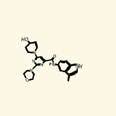 Cc1c[nH]c2ccc(NC(=O)c3cc(N4CCC(O)CC4)nc(N4CCOCC4)n3)cc12